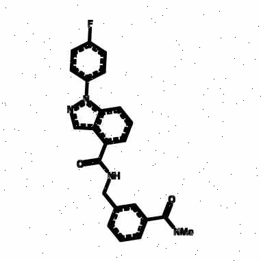 CNC(=O)c1cccc(CNC(=O)c2cccc3c2cnn3-c2ccc(F)cc2)c1